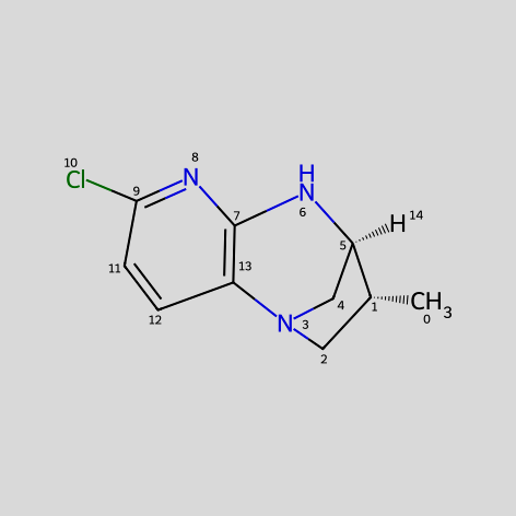 C[C@@H]1CN2C[C@H]1Nc1nc(Cl)ccc12